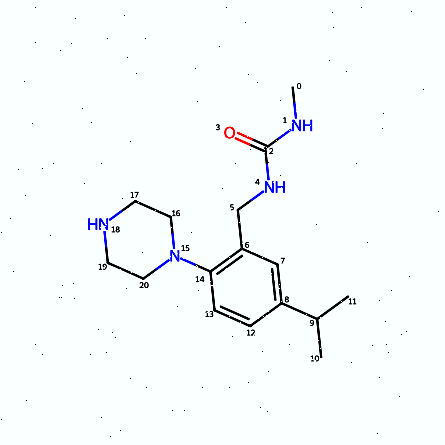 CNC(=O)NCc1cc(C(C)C)ccc1N1CCNCC1